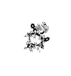 CC(C)[C@@H]1NC(=O)N([C@H]2CSSC[C@@H](C(N)=O)NC(=O)[C@H](Cc3c[nH]c4ccccc34)NC(=O)[C@H](CCCNC(N)N)NC(=O)[C@@H](Cc3ccccc3)NC(=O)[C@H](Cc3cnc[nH]3)NC(=O)[C@@H](C)NC2=O)C1=O